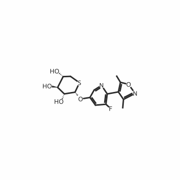 Cc1noc(C)c1-c1ncc(O[C@H]2SC[C@@H](O)[C@H](O)[C@H]2O)cc1F